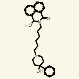 O=C1c2cccc3cccc(c23)C(O)N1CCCCCCN1CCC(O)(c2ccccc2)CC1